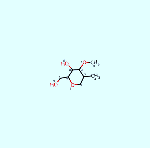 COC1C(C)COC(CO)C1O